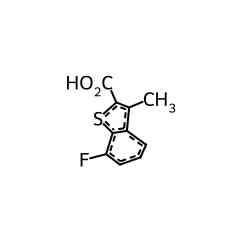 Cc1c(C(=O)O)sc2c(F)cccc12